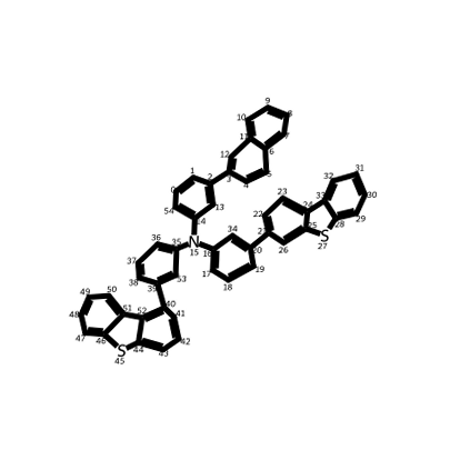 c1cc(-c2ccc3ccccc3c2)cc(N(c2cccc(-c3ccc4c(c3)sc3ccccc34)c2)c2cccc(-c3cccc4sc5ccccc5c34)c2)c1